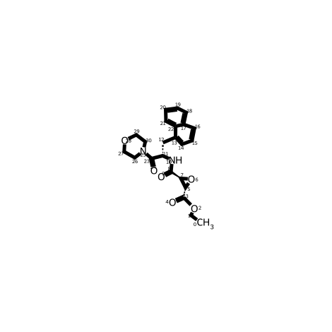 CCOC(=O)[C@H]1O[C@@H]1C(=O)N[C@@H](Cc1cccc2ccccc12)C(=O)N1CCOCC1